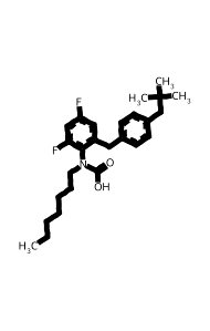 CCCCCCCN(C(=O)O)c1c(F)cc(F)cc1Cc1ccc(CC(C)(C)C)cc1